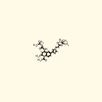 CC(=O)N1c2ccc(-c3cn(CCC(=O)OC(C)(C)C)cn3)cc2C(NC(=O)OC(C)C)CC1C